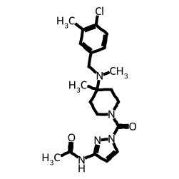 CC(=O)Nc1ccn(C(=O)N2CCC(C)(N(C)Cc3ccc(Cl)c(C)c3)CC2)n1